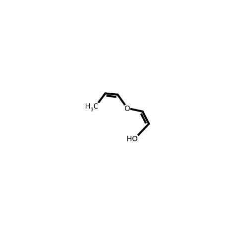 C/C=C\O/C=C\O